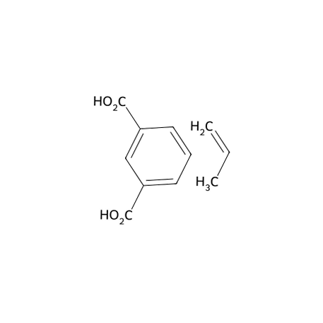 C=CC.O=C(O)c1cccc(C(=O)O)c1